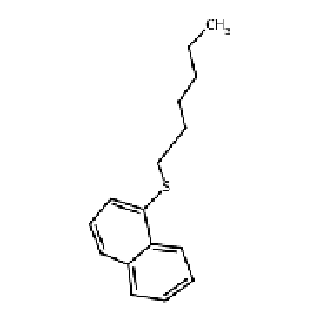 CCCCCCSc1cccc2ccccc12